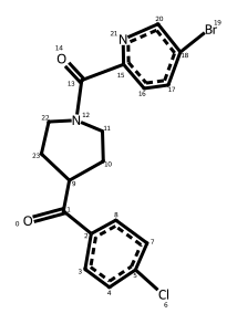 O=C(c1ccc(Cl)cc1)C1CCN(C(=O)c2ccc(Br)cn2)CC1